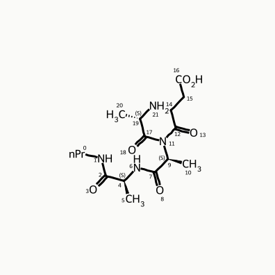 CCCNC(=O)[C@H](C)NC(=O)[C@H](C)N(C(=O)CCC(=O)O)C(=O)[C@H](C)N